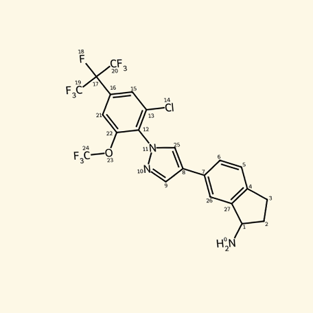 NC1CCc2ccc(-c3cnn(-c4c(Cl)cc(C(F)(C(F)(F)F)C(F)(F)F)cc4OC(F)(F)F)c3)cc21